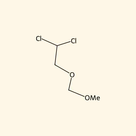 COCOCC(Cl)Cl